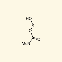 CNC(=O)OSO